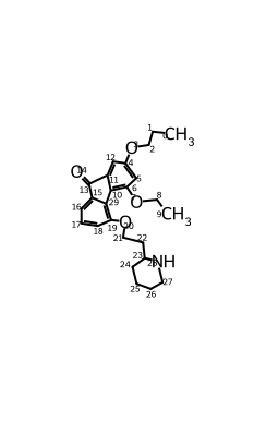 CCCOc1cc(OCC)c2c(c1)C(=O)c1cccc(OCCC3CCCCN3)c1-2